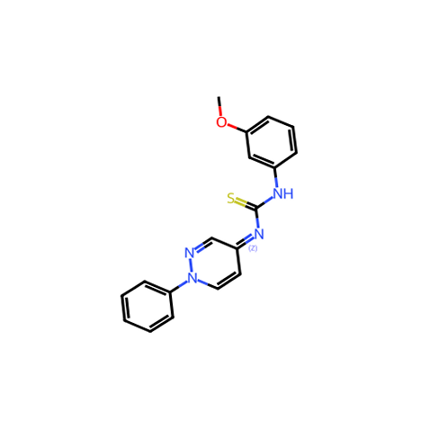 COc1cccc(NC(=S)/N=c2/ccn(-c3ccccc3)nc2)c1